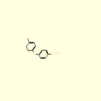 CSc1ccc(SC2=CC=C(C)CC2)cc1